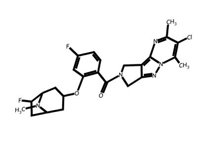 Cc1nc2c3c(nn2c(C)c1Cl)CN(C(=O)c1ccc(F)cc1OC1CC2CC(F)C(C1)N2C)C3